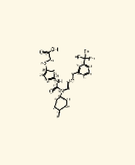 CC1CCC(N(CCOCc2cccc(C(F)(F)F)c2)C(=O)Nc2ncc(SCC(=O)O)s2)CC1